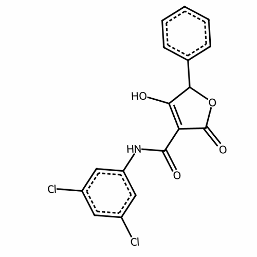 O=C(Nc1cc(Cl)cc(Cl)c1)C1=C(O)C(c2ccccc2)OC1=O